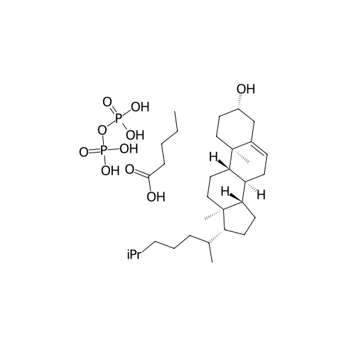 CC(C)CCCC(C)[C@H]1CC[C@H]2[C@@H]3CC=C4C[C@@H](O)CC[C@]4(C)[C@H]3CC[C@]12C.CCCCC(=O)O.O=P(O)(O)OP(=O)(O)O